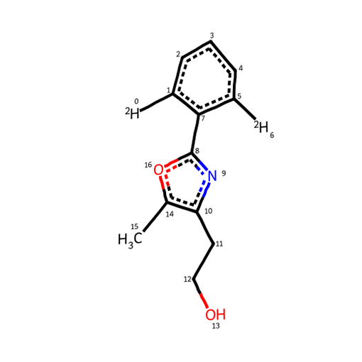 [2H]c1cccc([2H])c1-c1nc(CCO)c(C)o1